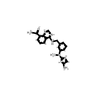 CN(c1cccc(CNc2ncnc3c(C(N)=O)cccc23)c1)c1ncc(N)s1